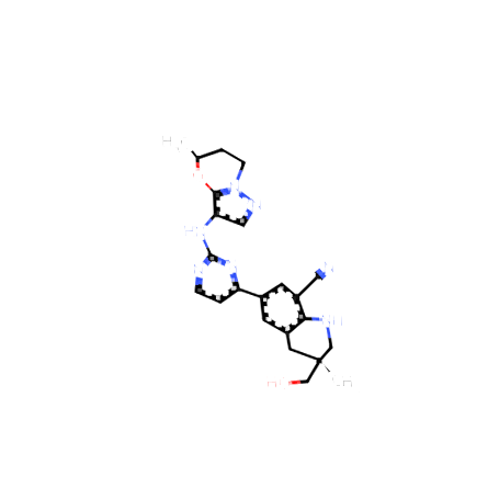 CC1CCn2ncc(Nc3nccc(-c4cc(C#N)c5c(c4)C[C@@](C)(CO)CN5)n3)c2O1